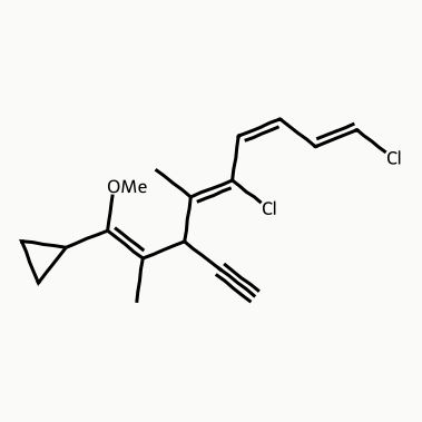 C#CC(/C(C)=C(Cl)/C=C\C=C\Cl)/C(C)=C(\OC)C1CC1